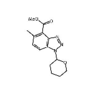 COC(=O)c1c(C)ccc2c1nnn2C1CCCCO1